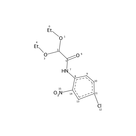 CCOC(OCC)C(=O)Nc1ccc(Cl)cc1[N+](=O)[O-]